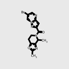 Cc1nc2c(o1)CCN(C(=O)c1cc3ncc(Br)cn3n1)C2C